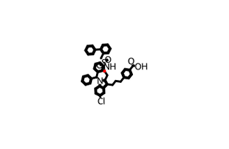 O=C(O)c1ccc(CCCc2c(CCNS(=O)(=O)Cc3ccccc3-c3ccccc3)n(C(c3ccccc3)c3ccccc3)c3ccc(Cl)cc23)cc1